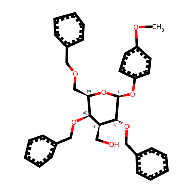 COc1ccc(O[C@@H]2O[C@H](COCc3ccccc3)[C@H](OCc3ccccc3)[C@H](CO)[C@H]2OCc2ccccc2)cc1